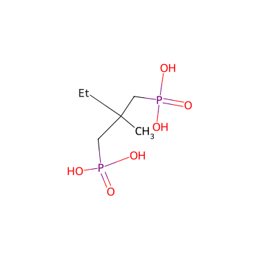 CCC(C)(CP(=O)(O)O)CP(=O)(O)O